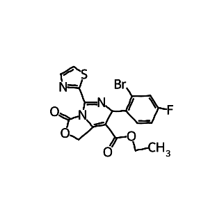 CCOC(=O)C1=C2COC(=O)N2C(c2nccs2)=NC1c1ccc(F)cc1Br